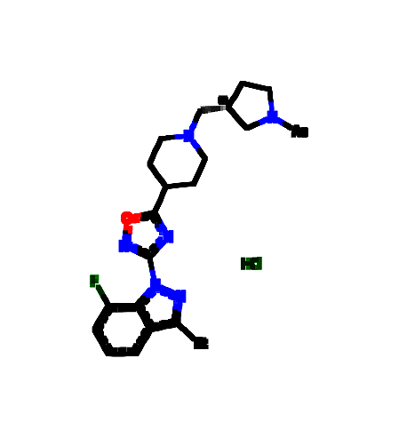 CCc1nn(-c2noc(C3CCN(C[C@@H]4CCN(C(C)=O)C4)CC3)n2)c2c(F)cccc12.Cl